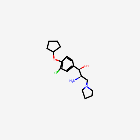 N[C@H](CN1CCCC1)[C@H](O)c1ccc(OC2CCCC2)c(Cl)c1